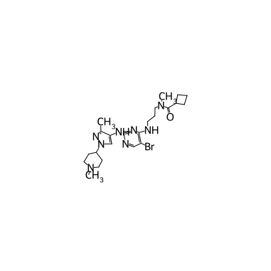 Cc1nn(C2CCN(C)CC2)cc1Nc1ncc(Br)c(NCCCN(C)C(=O)C2CCC2)n1